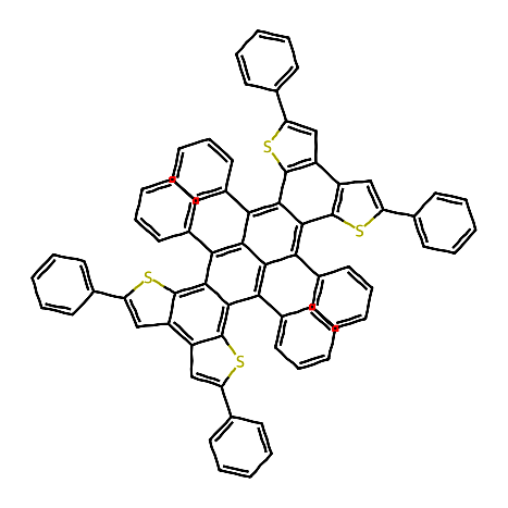 c1ccc(-c2cc3c4cc(-c5ccccc5)sc4c4c(-c5ccccc5)c5c(-c6ccccc6)c6c7sc(-c8ccccc8)cc7c7cc(-c8ccccc8)sc7c6c(-c6ccccc6)c5c(-c5ccccc5)c4c3s2)cc1